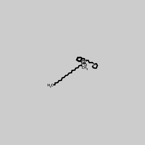 CCCCCCCCCCCCCCCCCC(C)N(C=O)c1ccccc1CNCCCN1CCCCC1